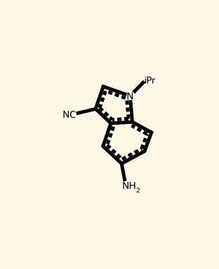 CC(C)n1cc(C#N)c2cc(N)ccc21